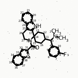 CN(C)C(c1cccc(F)c1)C1CCC2(CC1)c1[nH]c3ccccc3c1CCN2C(=O)c1cc2ccccc2s1